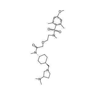 COc1cc(C)c(S(=O)(=O)N(C)CCOCC(=O)N(C)[C@H]2CC[C@H](CN3CCC(N(C)C)C3)CC2)c(C)c1